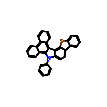 c1ccc(-n2c3ccc4c5ccccc5sc4c3c3c4ccccc4c4ccccc4c32)cc1